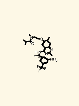 Cc1nc(N[C@H](C)c2cc(N)cc(C(F)(F)F)c2)c2cc(OCCN(C)C(=O)C(C)C)c(C)cc2n1